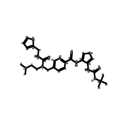 CN(C)CCN(Cc1ccc(C(=O)Nc2cscc2NC(=O)OC(C)(C)C)nc1)C(=O)NCc1ccco1